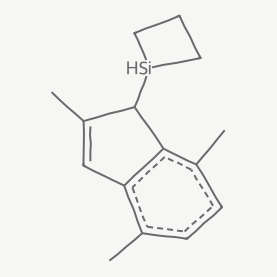 CC1=Cc2c(C)ccc(C)c2C1[SiH]1CCC1